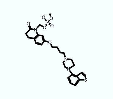 COP(=O)(OC)OCN1C(=O)CCc2ccc(OCCCCN3CCN(c4cccc5sccc45)CC3)cc21